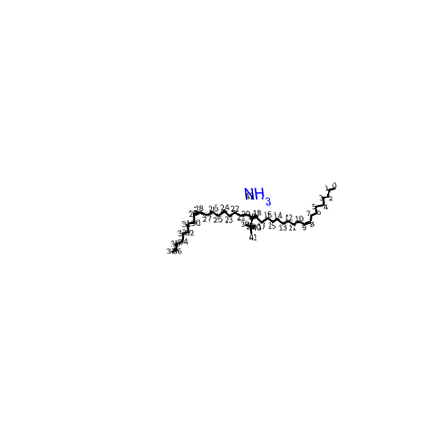 CCCCCCCC/C=C\CCCCCCCCCC(CCCCCCCC/C=C\CCCCCCCC)C(C)(C)C.N